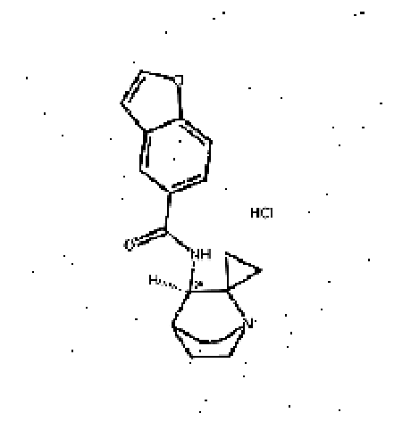 Cl.O=C(N[C@@H]1C2CCN(CC2)C12CC2)c1ccc2occc2c1